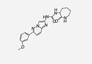 COc1cccc(-c2ccc3nc(NC(=O)NC4CCCCNC4=O)cn3n2)c1